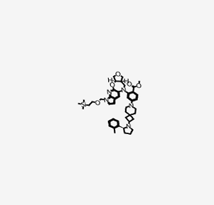 COC(=O)c1ccc(N2CCC3(CC2)CC(N2CCC[C@H]2c2ccccc2C)C3)cc1N1C[C@H]2COC[C@@H]2Oc2nc3c(ccn3COCC[Si](C)(C)C)cc21